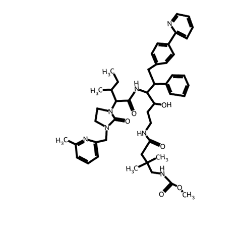 CCC(C)C(C(=O)NC(C(O)CCNC(=O)CC(C)(C)CNC(=O)OC)C(Cc1ccc(-c2ccccn2)cc1)c1ccccc1)N1CCN(Cc2cccc(C)n2)C1=O